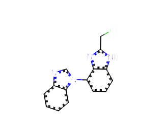 ClCc1nc2c(-n3cnc4ccccc43)cccc2[nH]1